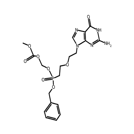 COC(=O)OCOP(=O)(CCOCCn1cnc2c(=O)[nH]c(N)nc21)OCc1ccccc1